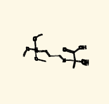 CO[Si](CCCSC(C)(O)C(=O)O)(OC)OC